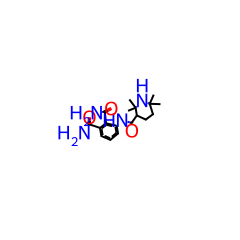 CC1(C)CCC(C(=O)Nc2cccc(C(N)=O)c2C(N)=O)C(C)(C)N1